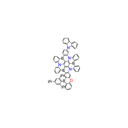 CC(C)c1cc(C(C)C)c(B2c3ccccc3Oc3cc4c(cc32)B2c3ccccc3N3c5ccccc5B5c6ccc(-n7c8ccccc8c8ccccc87)cc6N6c7ccccc7B7c8ccccc8N4c4c2c3c5c6c47)c(C(C)C)c1